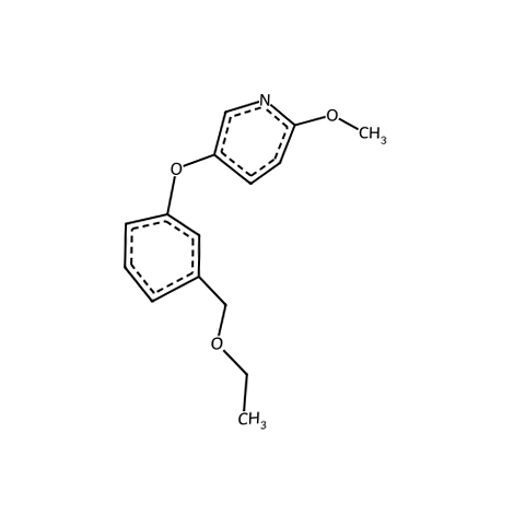 CCOCc1cccc(Oc2ccc(OC)nc2)c1